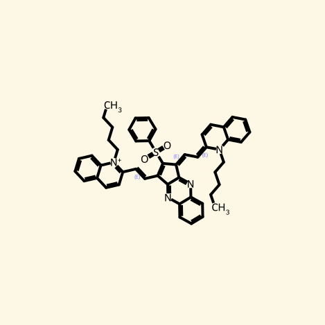 CCCCCN1/C(=C/C=C2C(S(=O)(=O)c3ccccc3)=C(/C=C/c3ccc4ccccc4[n+]3CCCCC)c3nc4ccccc4nc3/2)C=Cc2ccccc21